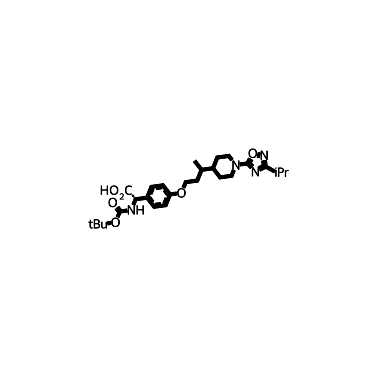 CC(C)c1noc(N2CCC(C(C)CCOc3ccc([C@H](NC(=O)OC(C)(C)C)C(=O)O)cc3)CC2)n1